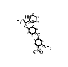 CC(Oc1ccc(Oc2ccc([N+](=O)[O-])c(N)c2)cc1)C1CCCCN1